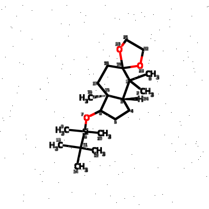 CC1(C)[C@@H]2CCC(O[Si](C)(C)C(C)(C)C)[C@@]2(C)CCC12OCCO2